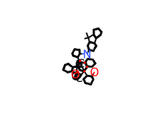 CC1(C)c2ccccc2-c2ccc(N(c3ccc4c(c3)C3(c5ccccc5O4)c4ccccc4-c4ccccc43)c3ccccc3-c3cccc4oc5ccccc5c34)cc21